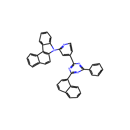 c1ccc(-c2nc(-c3ccnc(-n4c5ccccc5c5c6ccccc6ccc54)c3)nc(-c3cccc4ccccc34)n2)cc1